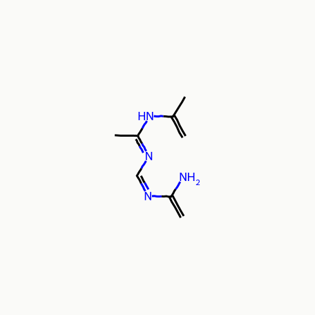 C=C(N)/N=C\N=C(/C)NC(=C)C